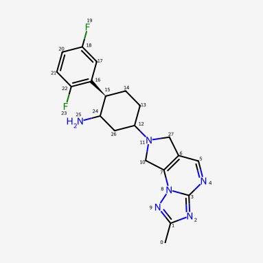 Cc1nc2ncc3c(n2n1)CN(C1CC[C@H](c2cc(F)ccc2F)C(N)C1)C3